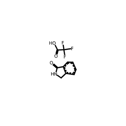 O=C(O)C(F)(F)F.O=C1NCc2ccccc21